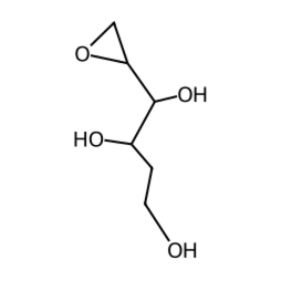 OCCC(O)C(O)C1CO1